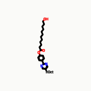 CCCCCCCCc1cnc(-c2ccc(OC(=O)CCCCCCCCCCCO)cc2)nc1